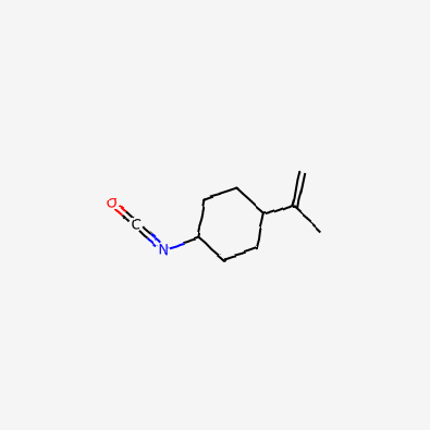 C=C(C)C1CCC(N=C=O)CC1